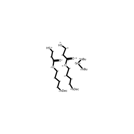 CCCCCCCCCCCCCCOC(=O)CCS.CCCCCCCCCCCCCCOC(=O)CCS.CCC[CH2][Sn][CH2]CCC